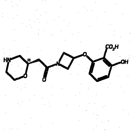 O=C(O)c1c(O)cccc1OC1CN(C(=O)C[C@@H]2CNCCO2)C1